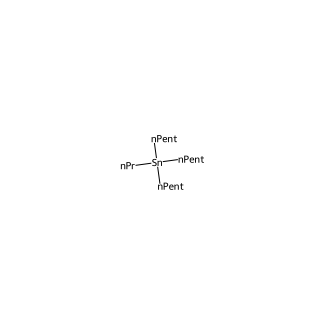 CCCC[CH2][Sn]([CH2]CC)([CH2]CCCC)[CH2]CCCC